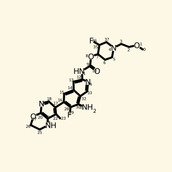 COCCN1CCC(OC(=O)Nc2cc3cc(-c4cnc5c(c4C)NCCO5)c(F)c(N)c3cn2)C(F)C1